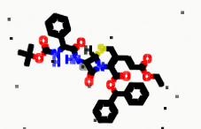 CCOC(=O)C=CC1=C(C(=O)OC(c2ccccc2)c2ccccc2)N2C(=O)[C@@H](NC(=O)C(NC(=O)OC(C)(C)C)c3ccccc3)[C@@H]2SC1